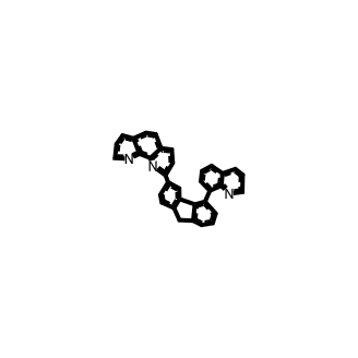 c1cc2c(c(-c3cccc4cccnc34)c1)-c1cc(-c3ccc4ccc5cccnc5c4n3)ccc1C2